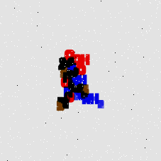 CC1=C(C(=O)O)N2C(=O)C(NC(=O)/C(=N/OC3CSC3)c3csc(N)n3)[C@H]2SC1